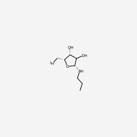 [2H]C[C@H]1O[C@@H](BCCC)C(O)[C@H]1O